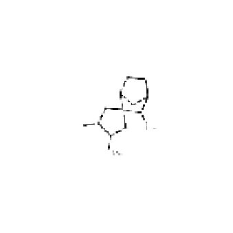 COC1C[C@@]2(C[C@@H]1O)C1CCC(C1)C2N